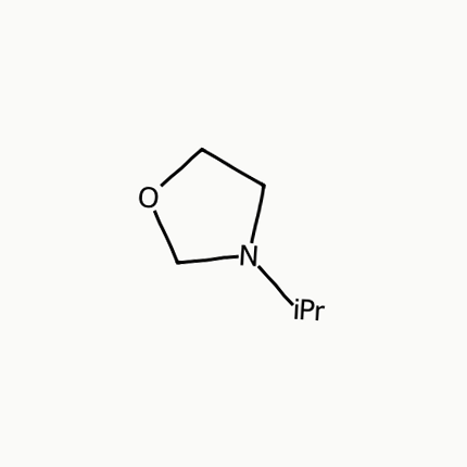 CC(C)N1CCOC1